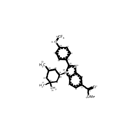 COC(=O)c1ccc2c(c1)nc(-c1ccc(OC(F)(F)F)cc1)n2[C@@H]1CC(C)CC(C)(C)C1